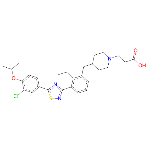 CCc1c(CC2CCN(CCC(=O)O)CC2)cccc1-c1nsc(-c2ccc(OC(C)C)c(Cl)c2)n1